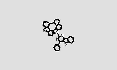 c1ccc(-c2nc(-n3c4ccc5cccc6c5c4c4c5c(ccc43)sc3cccc-6c35)nc3c2sc2ccccc23)cc1